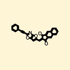 O=C1C(=Cc2cc3oc(C#Cc4ccccc4)nc3o2)C(=O)c2cc3ccccc3cc21